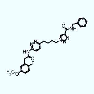 O=C(Cc1cc(OC(F)(F)F)ccc1F)Nc1ccc(CCCCn2cc(C(=O)NCc3ccccc3)nn2)nn1